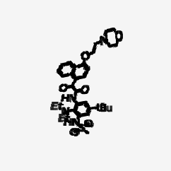 CCN(CC)c1c(NC(=O)C(=O)c2ccc(OCCN3CCOCC3)c3ccccc23)cc(C(C)(C)C)cc1NS(C)(=O)=O